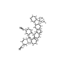 CC1(C)c2ccccc2-c2cc3c(cc21)oc1cccc(-c2ccc(C#N)cc2N2c4ccccc4C4C=C(C#N)C=CC42)c13